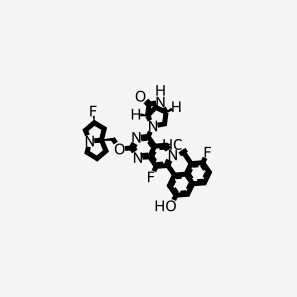 C#Cc1c(F)ccc2cc(O)cc(-c3ncc4c(N5C[C@@H]6C[C@H]5C(=O)N6)nc(OC[C@@]56CCCN5C[C@H](F)C6)nc4c3F)c12